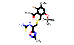 COC(=O)c1c(Br)c(OC)cc(O[Si](C)(C)C(C)(C)C)c1CSCC(NC(N)=S)c1nc(C)no1